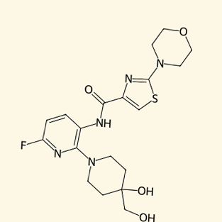 O=C(Nc1ccc(F)nc1N1CCC(O)(CO)CC1)c1csc(N2CCOCC2)n1